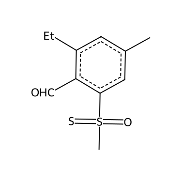 CCc1cc(C)cc(S(C)(=O)=S)c1C=O